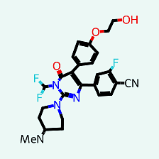 CNC1CCN(c2nc(-c3ccc(C#N)c(F)c3)c(-c3ccc(OCCO)cc3)c(=O)n2C(F)F)CC1